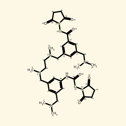 CN(C)Cc1cc(CN(C)CCN(C)Cc2cc(CN(C)C)cc(C(=O)ON3C(=O)CCC3=O)c2)cc(NC(=O)ON2C(=O)CCC2=O)c1